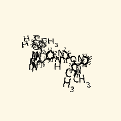 Cc1cc(Oc2ccnc(Nc3cccc(Cc4nnnn4CC(=O)OC(C)(C)C)c3)c2)c(-c2ccccn2)nc1C